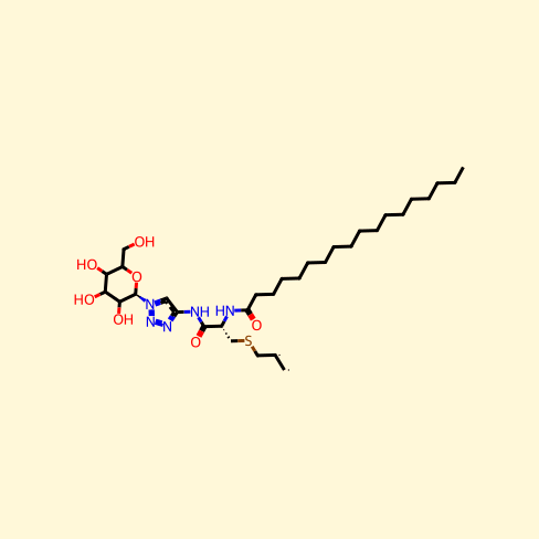 [CH2][CH]CSC[C@@H](NC(=O)CCCCCCCCCCCCCCCCC)C(=O)Nc1cn([C@@H]2OC(CO)C(O)C(O)C2O)nn1